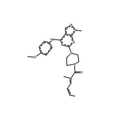 C/C=C\C=C(/C)C(=O)N1CCN(c2nc(Nc3ccc(OC)cc3)c3cnn(C)c3n2)CC1